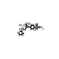 CC1(C)C(CNc2cnccn2)C1c1ccc(S(N)(=O)=O)cc1